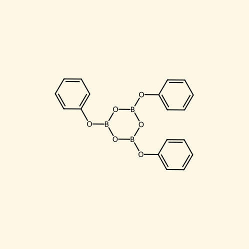 c1ccc(OB2OB(Oc3ccccc3)OB(Oc3ccccc3)O2)cc1